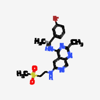 Cc1nc(N[C@H](C)c2cccc(Br)c2)c2cc(NCCS(C)(=O)=O)ncc2n1